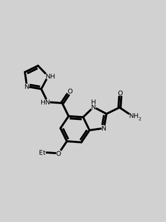 CCOc1cc(C(=O)Nc2ncc[nH]2)c2[nH]c(C(N)=O)nc2c1